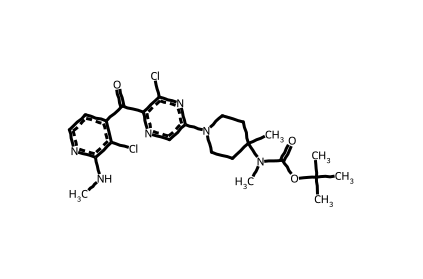 CNc1nccc(C(=O)c2ncc(N3CCC(C)(N(C)C(=O)OC(C)(C)C)CC3)nc2Cl)c1Cl